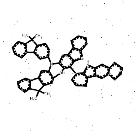 CC1(C)c2ccccc2-c2cc(N3c4cc5c(cc4Bc4c3cc3c(sc6ccccc63)c4-c3cccc4c3[nH]c3cc6ccccc6cc34)C(C)(C)c3ccccc3-5)ccc21